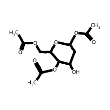 CC(=O)OCC1OC(OC(C)=O)CC(O)C1OC(C)=O